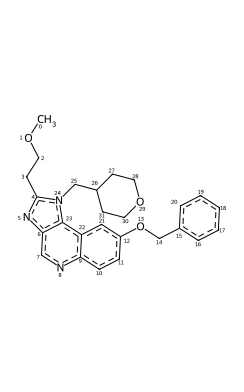 COCCc1nc2cnc3ccc(OCc4ccccc4)cc3c2n1CC1CCOCC1